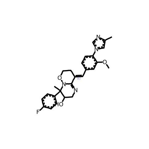 COc1cc(/C=C2\CCON3C2=NCC(O)C3(C)c2ccc(F)cc2)ccc1-n1cnc(C)c1